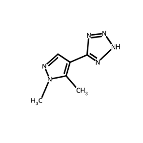 Cc1c(-c2nn[nH]n2)cnn1C